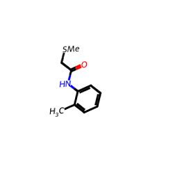 CSCC(=O)Nc1ccccc1C